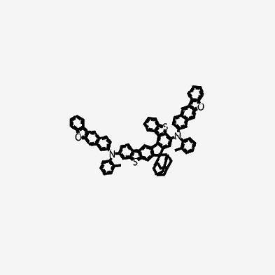 Cc1ccccc1N(c1ccc2cc3c(cc2c1)oc1ccccc13)c1ccc2c(c1)sc1cc3c(cc12)-c1c(cc(N(c2ccc4cc5c(cc4c2)oc2ccccc25)c2ccccc2C)c2sc4ccccc4c12)C31C2CC3CC(C2)CC1C3